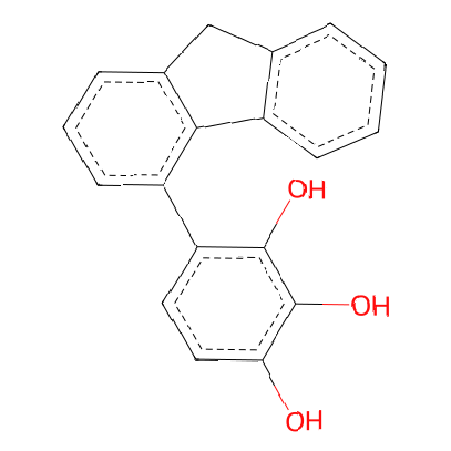 Oc1ccc(-c2cccc3c2-c2ccccc2C3)c(O)c1O